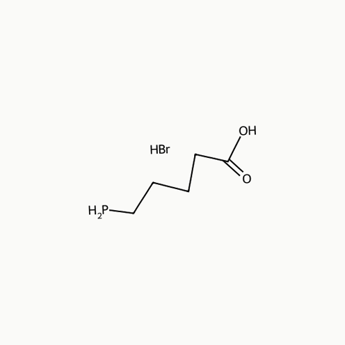 Br.O=C(O)CCCCP